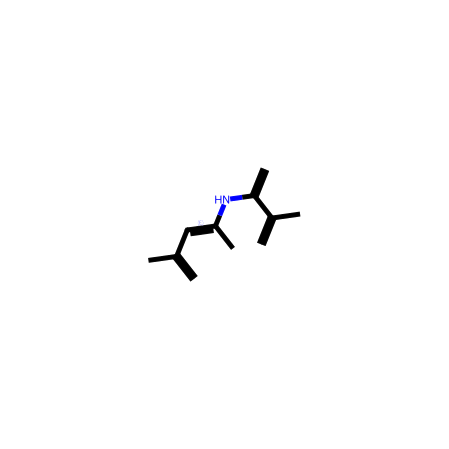 C=C(C)/C=C(\C)NC(=C)C(=C)C